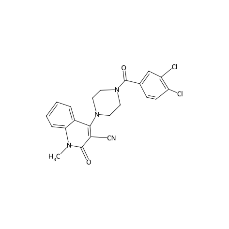 Cn1c(=O)c(C#N)c(N2CCN(C(=O)c3ccc(Cl)c(Cl)c3)CC2)c2ccccc21